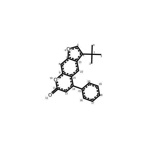 CC(C)(C)c1coc2cc3oc(=O)cc(-c4ccccc4)c3cc12